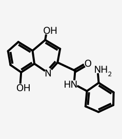 Nc1ccccc1NC(=O)c1cc(O)c2cccc(O)c2n1